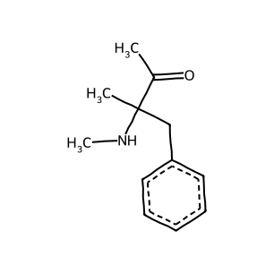 CNC(C)(Cc1ccccc1)C(C)=O